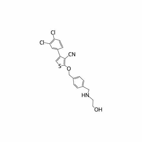 N#Cc1c(-c2ccc(Cl)c(Cl)c2)csc1OCc1ccc(CNCCO)cc1